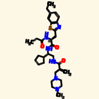 C=C(CN1CCN(C)CC1)C(=O)NCC(NC(=O)[C@H](Cc1nc2ccc(CC)cc2s1)NC(=O)CC)C1CCCC1